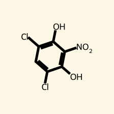 O=[N+]([O-])c1c(O)c(Cl)cc(Cl)c1O